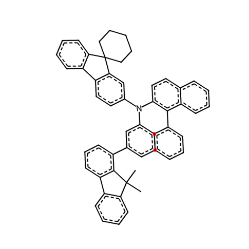 CC1(C)c2ccccc2-c2cccc(-c3cccc(N(c4ccc5c(c4)C4(CCCCC4)c4ccccc4-5)c4ccc5ccccc5c4-c4ccccc4)c3)c21